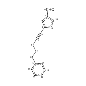 O=Cc1cc(C#CCCCc2ccccc2)cs1